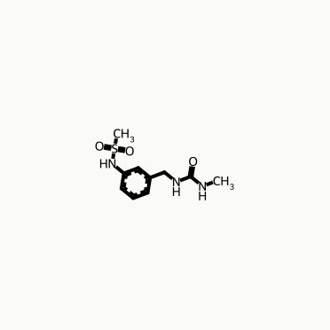 CNC(=O)NCc1cccc(NS(C)(=O)=O)c1